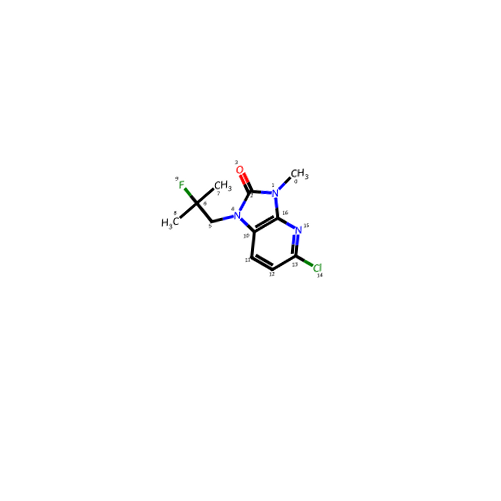 Cn1c(=O)n(CC(C)(C)F)c2ccc(Cl)nc21